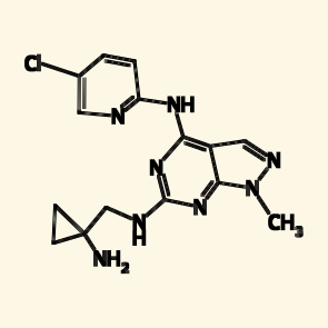 Cn1ncc2c(Nc3ccc(Cl)cn3)nc(NCC3(N)CC3)nc21